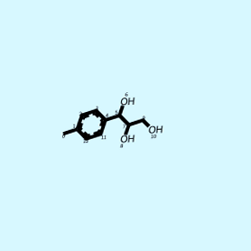 Cc1ccc(C(O)C(O)CO)cc1